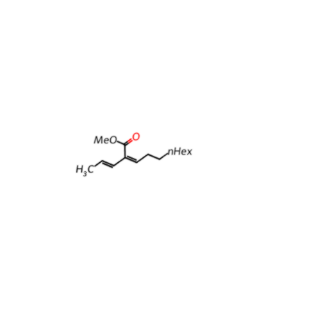 CC=CC(=CCCCCCCCC)C(=O)OC